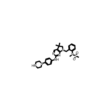 CN(c1ccccc1CN1CC(C)(C)c2cnc(Nc3ccc(N4CCNCC4)cc3)nc21)S(C)(=O)=O